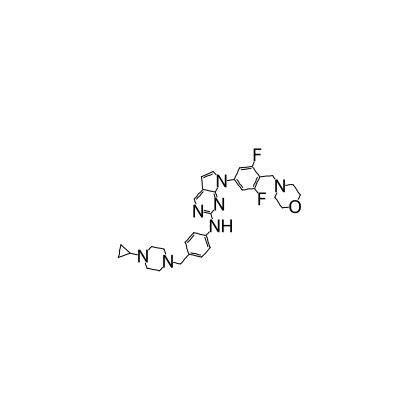 Fc1cc(-n2ccc3cnc(Nc4ccc(CN5CCN(C6CC6)CC5)cc4)nc32)cc(F)c1CN1CCOCC1